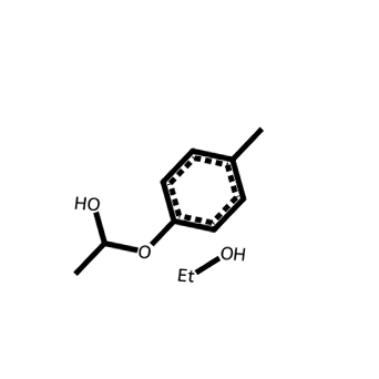 CCO.Cc1ccc(OC(C)O)cc1